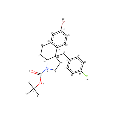 CC(C)(C)OC(=O)N1CCC2(Cc3ccc(F)cc3)c3ccc(Br)cc3CCC12